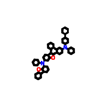 C1=CCC(c2ccc(N(c3ccccc3)c3ccc4c(c3)c3ccccc3c3c5ccc(N(c6ccccc6)c6cccc7c6oc6ccccc67)cc5oc43)cc2)C=C1